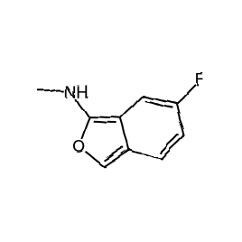 CNc1occ2ccc(F)cc12